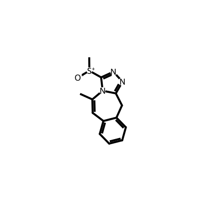 CC1=Cc2ccccc2Cc2nnc([S+](C)[O-])n21